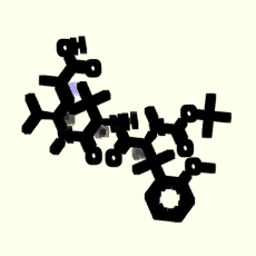 COc1ccccc1C(C)(C)[C@@H](C(=O)N[C@H](C(=O)N(C)[C@H](/C=C(\C)C(=O)O)C(C)C)C(C)(C)C)N(C)C(=O)OC(C)(C)C